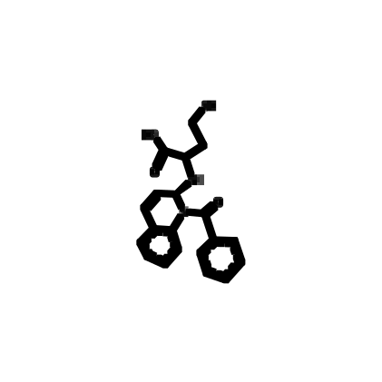 O=C(O)C(CCS)N[C@@H]1C=Cc2ccccc2N1C(=O)c1ccccc1